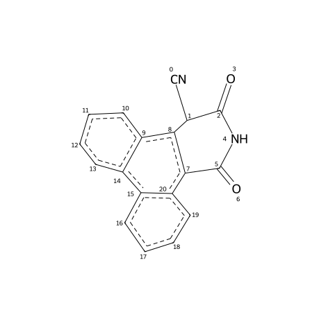 N#CC1C(=O)NC(=O)c2c1c1ccccc1c1ccccc21